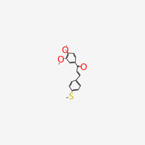 COc1ccc(C(=O)C=Cc2ccc(SC)cc2)cc1OC